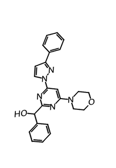 OC(c1ccccc1)c1nc(N2CCOCC2)cc(-n2ccc(-c3ccccc3)n2)n1